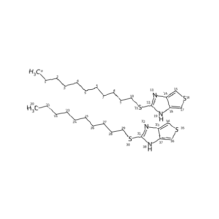 CCCCCCCCCCCSc1nc2cscc2[nH]1.CCCCCCCCCCSc1nc2cscc2[nH]1